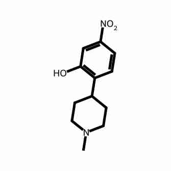 CN1CCC(c2ccc([N+](=O)[O-])cc2O)CC1